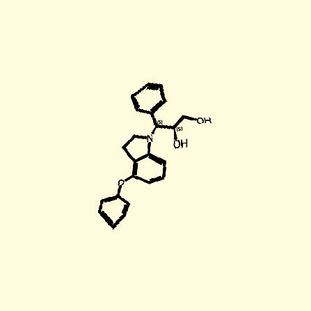 OC[C@@H](O)[C@H](c1ccccc1)N1CCc2c(Oc3ccccc3)cccc21